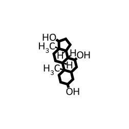 C[C@]12CCC(O)CC1CC(O)[C@@H]1[C@H]2CC[C@]2(C)C(O)CC[C@@H]12